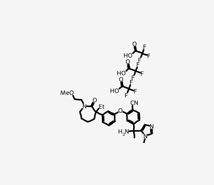 CCC1(c2cccc(Oc3cc(C(C)(N)c4cncn4C)ccc3C#N)c2)CCCCN(CCOC)C1=O.O=C(O)C(F)(F)F.O=C(O)C(F)(F)F.O=C(O)C(F)(F)F